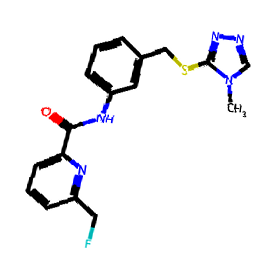 Cn1cnnc1SCc1cccc(NC(=O)c2cccc(CF)n2)c1